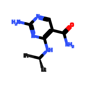 CC[C@@H](Nc1nc(N)ncc1C(N)=O)C(C)C